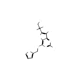 C[C@H](N)C(F)(F)c1oc2c(NCc3cccs3)nc(Cl)nc2c1Cl